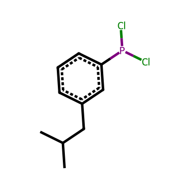 CC(C)Cc1cccc(P(Cl)Cl)c1